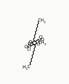 CCCCCCCCCCCCC1=C(CN(C)C(=O)Cl)C(=O)C(CCCCCCCCCCCC)=C(CN(C)C(=O)Cl)C1=O